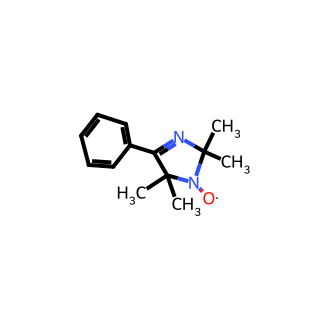 CC1(C)N=C(c2ccccc2)C(C)(C)N1[O]